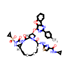 O=C(NC1CC1)c1csc(N[C@H]2CCCCC/C=C\[C@@H]3C[C@@]3(C(=O)NS(=O)(=O)C3CC3)NC(=O)[C@@H]3C[C@@H](Oc4nc(-c5ccc(C(F)(F)F)cc5)nc5c4oc4ccccc45)CN3C2=O)n1